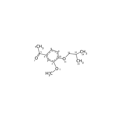 COc1cc(C(C)=O)ccc1OCC(C)C